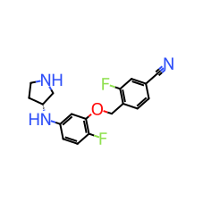 N#Cc1ccc(COc2cc(N[C@@H]3CCNC3)ccc2F)c(F)c1